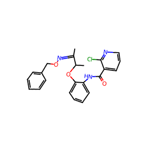 CC(=NOCc1ccccc1)C(C)Oc1ccccc1NC(=O)c1cccnc1Cl